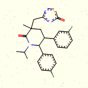 CCC(CC)N1C(=O)C(C)(Cc2nsc(=O)[nH]2)CC(c2cccc(Cl)c2)C1c1ccc(Cl)cc1